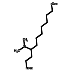 CCCCCCCCCCCCCCCCCC(CCCCCCCCCCCC)N(C)C